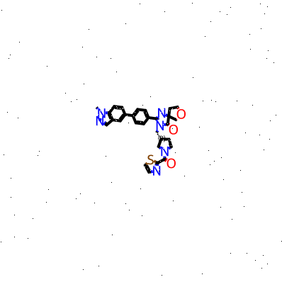 Cn1ncc2cc(-c3ccc(C4=NC5(CCOC5)C(=O)N4C[C@@H]4CCN(C(=O)c5nccs5)C4)cc3)ccc21